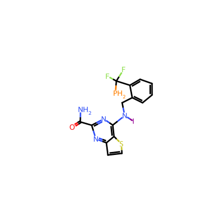 NC(=O)c1nc(N(I)Cc2ccccc2C(F)(F)P)c2sccc2n1